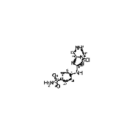 NS(=O)(=O)c1ccc(NC2=N[N+]3(Cl)C=CN=CC3=N2)cc1